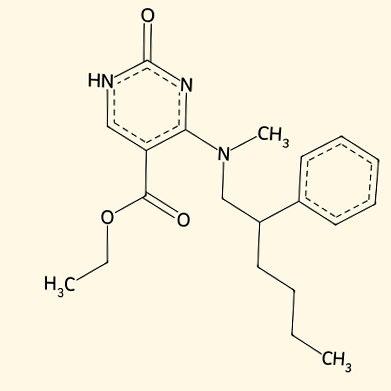 CCCCC(CN(C)c1nc(=O)[nH]cc1C(=O)OCC)c1ccccc1